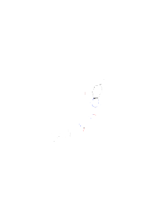 Cn1c(C(=O)N2CCN(C3CCC(O[Si](C)(C)C(C)(C)C)CC3)C(=O)C2)nc2cc(C3CC3)cc(Br)c21